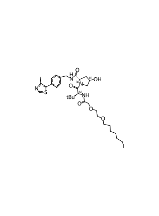 Cc1ncsc1-c1ccc(CNC(=O)[C@@H]2C[C@@H](O)CN2C(=O)[C@@H](NC(=O)COCCOCCCCCCI)C(C)(C)C)cc1